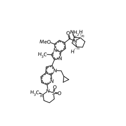 COc1cc(C(=O)N2[C@H]3CC[C@@H]2[C@H](N)C3)cc2nc(-c3cc4ccc(N5[C@H](C)CCCS5(=O)=O)nc4n3CC3CC3)c(C)n12